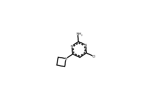 Nc1nc(Cl)cc(N2C[CH]C2)n1